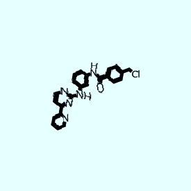 O=C(Nc1cccc(Nc2nccc(-c3ccccn3)n2)c1)c1ccc(CCl)cc1